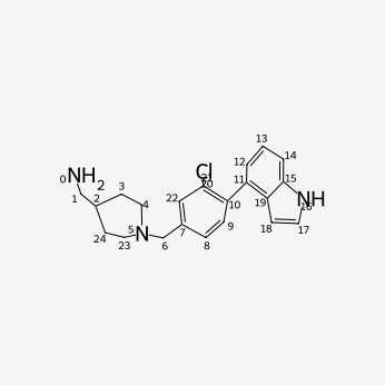 NCC1CCN(Cc2ccc(-c3cccc4[nH]ccc34)c(Cl)c2)CC1